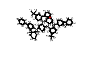 Cc1cc2c3c(c1)N(c1ccc(C(C)(C)C)cc1-c1ccccc1)c1cc(N4c5ccc(-c6ccccc6)cc5C5(C)CCCCC45C)ccc1B3c1cc(C(C)(C)C)ccc1N2c1ccc2c(c1)sc1ccccc12